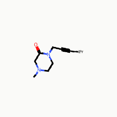 CC(C)C#CCN1CCN(C)CC1=O